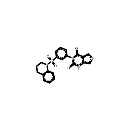 O=c1[nH]c2cscc2c(=O)n1-c1cccc(S(=O)(=O)N2CCCc3ccccc32)c1